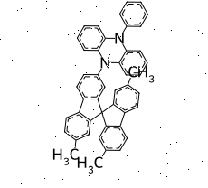 Cc1ccc2c(c1)C1(c3cc(C)ccc3-2)c2cc(C)ccc2-c2ccc(N3c4ccccc4N(c4ccccc4)c4ccccc43)cc21